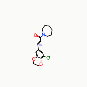 O=C(/C=C/c1cc(Cl)c2c(c1)OCCO2)N1CCCCCC1